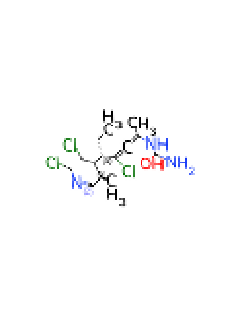 CC[C@H](C(Cl)=C=C(C)NC(N)O)C(CCl)[C@@H](C)/C=N\CCl